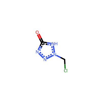 O=c1nnn(CCl)[nH]1